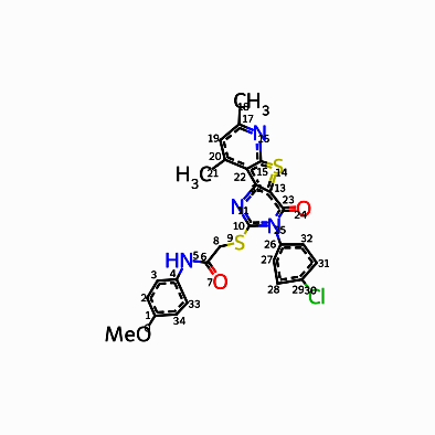 COc1ccc(NC(=O)CSc2nc3c(sc4nc(C)cc(C)c43)c(=O)n2-c2ccc(Cl)cc2)cc1